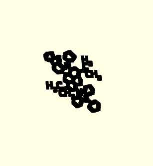 CC(C)c1cc(N(c2ccccc2)c2ccccc2Sc2ccccc2)c2ccc3c(C(C)C)cc(N(c4ccccc4)c4cccc5c4sc4ccccc45)c4ccc1c2c34